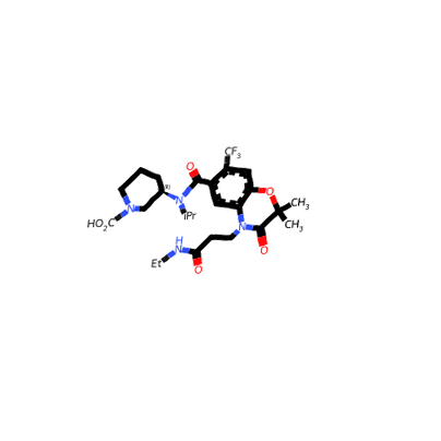 CCNC(=O)CCN1C(=O)C(C)(C)Oc2cc(C(F)(F)F)c(C(=O)N(C(C)C)[C@@H]3CCCN(C(=O)O)C3)cc21